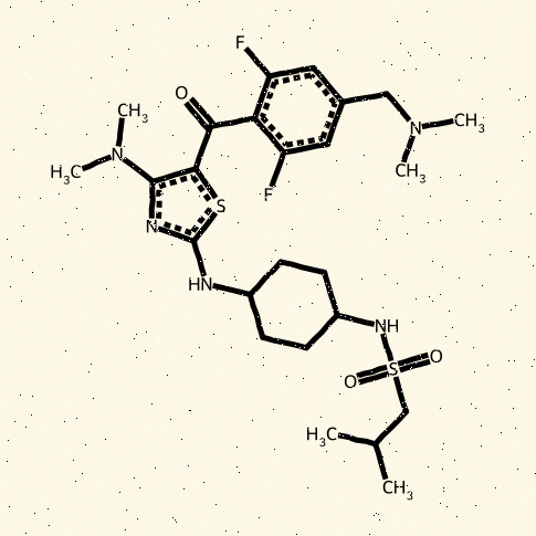 CC(C)CS(=O)(=O)NC1CCC(Nc2nc(N(C)C)c(C(=O)c3c(F)cc(CN(C)C)cc3F)s2)CC1